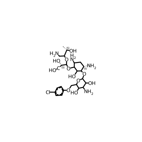 C[C@H](O)C(CN)OC(OC1C(N)C[C@H](N)C(OC2OC(COc3ccc(Cl)cc3)C(O)C(N)C2O)C1O)[C@@H](O)CO